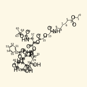 CCOC(=O)CCCCCNC(=O)COCC(=O)O[C@@H](C(=O)O[C@H]1C[C@]2(O)[C@H](C)C(=C1C)[C@@H](O)C(=O)[C@@]1(C)[C@@H]([C@@H]3CO[C@@H]3C[C@@H]1O)[C@@H]2OC(=O)c1ccccc1)C(C)NC(=O)OC(C)(C)C